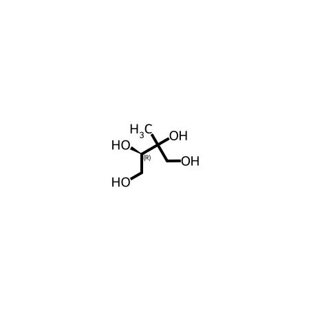 CC(O)(CO)[C@H](O)CO